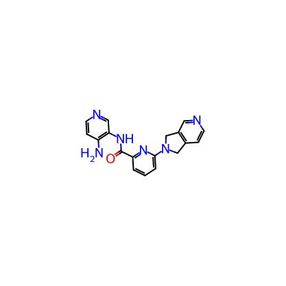 Nc1ccncc1NC(=O)c1cccc(N2Cc3ccncc3C2)n1